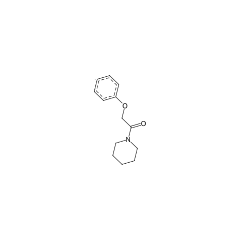 O=C(COc1cc[c]cc1)N1CCCCC1